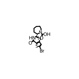 O=C(O)N1CCCCC[C@@H]1c1nc2cc(Br)sc2c(=O)[nH]1